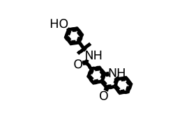 CC(C)(NC(=O)c1ccc2c(=O)c3ccccc3[nH]c2c1)c1ccc(O)cc1